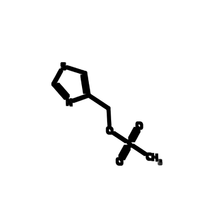 CS(=O)(=O)OCc1cscn1